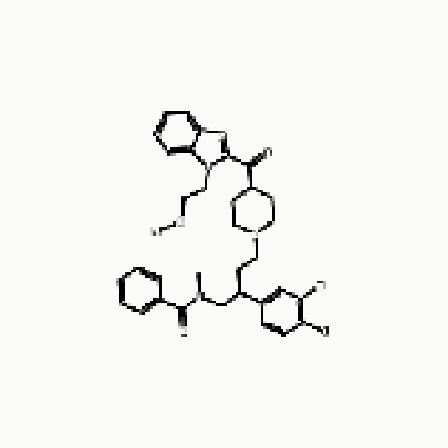 CCOCCn1c(C(=O)C2CCN(CCC(CN(C)C(=O)c3ccccc3)c3ccc(Cl)c(Cl)c3)CC2)nc2ccccc21